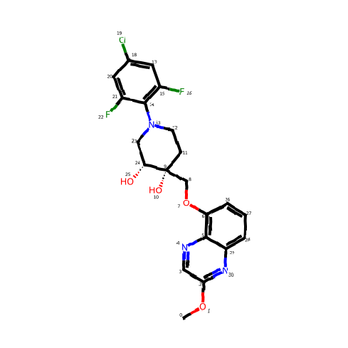 COc1cnc2c(OC[C@]3(O)CCN(c4c(F)cc(Cl)cc4F)C[C@H]3O)cccc2n1